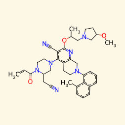 C=CC(=O)N1CCN(c2c(C#N)c(OC(C)CN3CCC(OC)C3)nc3c2CCN(c2cccc4cccc(C)c24)C3)CC1CC#N